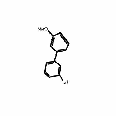 COc1cccc(-c2cc[c]c(O)c2)c1